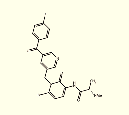 CN[C@@H](C)C(=O)Nc1ccc(Br)n(Cc2cncc(C(=O)c3ccc(F)cc3)c2)c1=O